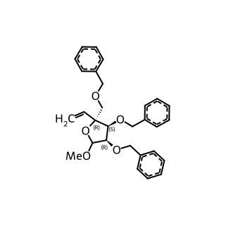 C=C[C@]1(COCc2ccccc2)OC(OC)[C@H](OCc2ccccc2)[C@@H]1OCc1ccccc1